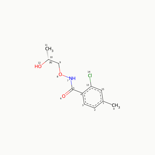 Cc1ccc(C(=O)NOC[C@@H](C)O)c(Cl)c1